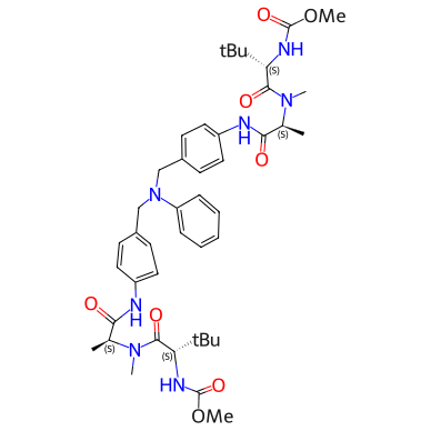 COC(=O)N[C@H](C(=O)N(C)[C@@H](C)C(=O)Nc1ccc(CN(Cc2ccc(NC(=O)[C@H](C)N(C)C(=O)[C@@H](NC(=O)OC)C(C)(C)C)cc2)c2ccccc2)cc1)C(C)(C)C